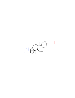 C[C@]12CC[C@H]3[C@@H](CCC4C[C@H](O)CC[C@@]43C)[C@@H]1C[C@H](F)[C@@H]2N